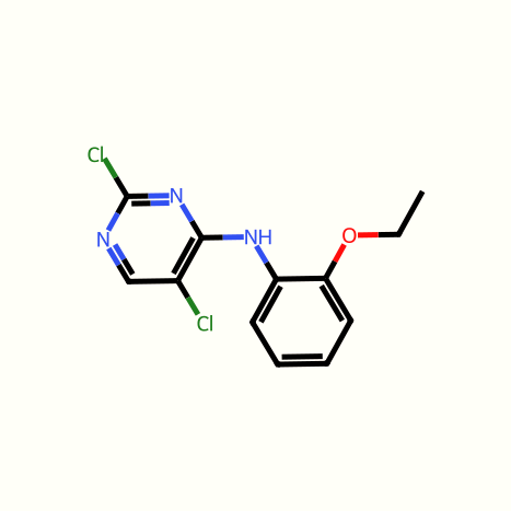 CCOc1ccccc1Nc1nc(Cl)ncc1Cl